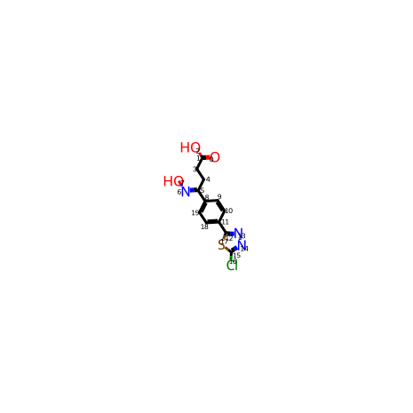 O=C(O)CCC(=NO)c1ccc(-c2nnc(Cl)s2)cc1